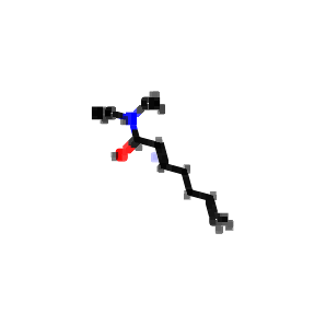 C=CCC/C=C/C(=O)N(C)C